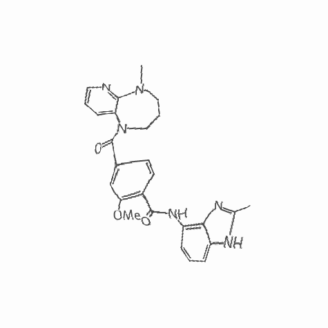 COc1cc(C(=O)N2CCCN(C)c3ncccc32)ccc1C(=O)Nc1cccc2[nH]c(C)nc12